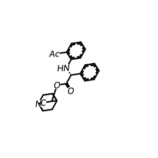 CC(=O)c1ccccc1N[C@@H](C(=O)OC1CN2CCC1CC2)c1ccccc1